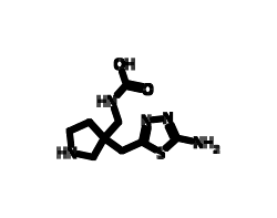 Nc1nnc(CC2(CNC(=O)O)CCNC2)s1